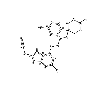 CN1CCC(COCCc2cc(Cl)cc3cn(CC#N)nc23)(c2ccc(F)cc2)CC1